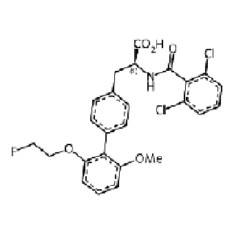 COc1cccc(OCCF)c1-c1ccc(C[C@H](NC(=O)c2c(Cl)cccc2Cl)C(=O)O)cc1